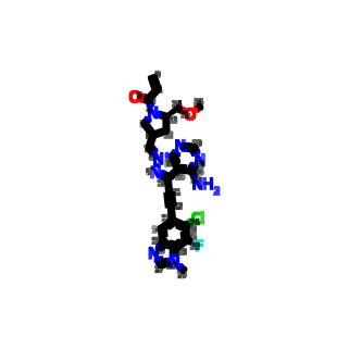 C=CC(=O)N1CC(/C=[N+]2/N=C(C#Cc3cc4ncn(C)c4c(F)c3Cl)c3c(N)ncnc32)C[C@@H]1COC